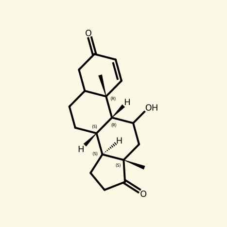 C[C@]12C=CC(=O)CC1CC[C@@H]1[C@H]2C(O)C[C@]2(C)C(=O)CC[C@@H]12